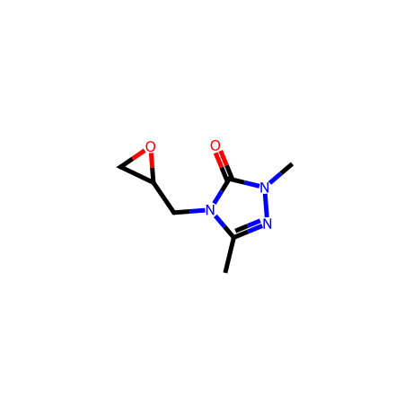 Cc1nn(C)c(=O)n1CC1CO1